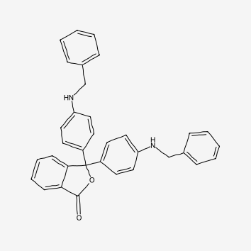 O=C1OC(c2ccc(NCc3ccccc3)cc2)(c2ccc(NCc3ccccc3)cc2)c2ccccc21